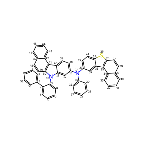 c1ccc(-c2ccccc2-n2c3cc(N(c4ccccc4)c4ccc5sc6ccc7ccccc7c6c5c4)ccc3c3c4ccccc4ccc32)cc1